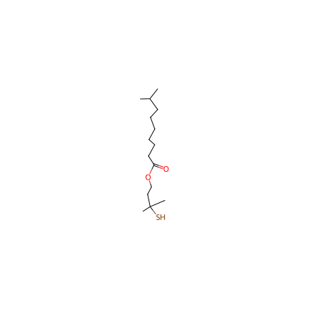 CC(C)CCCCCCC(=O)OCCC(C)(C)S